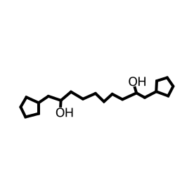 OC(CCCCCCC(O)CC1CCCC1)CC1CCCC1